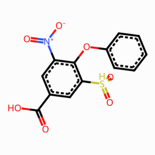 O=C(O)c1cc([N+](=O)[O-])c(Oc2ccccc2)c([SH](=O)=O)c1